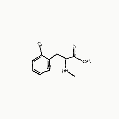 CNC(Cc1ccccc1Cl)C(=O)O